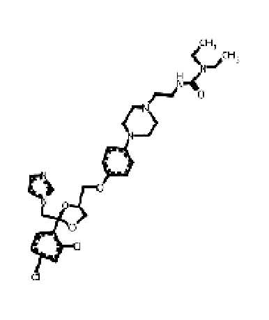 CCN(CC)C(=O)NCCN1CCN(c2ccc(OCC3COC(Cn4ccnc4)(c4ccc(Cl)cc4Cl)O3)cc2)CC1